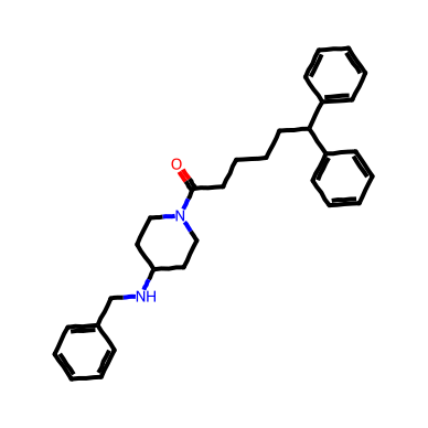 O=C(CCCCC(c1ccccc1)c1ccccc1)N1CCC(NCc2ccccc2)CC1